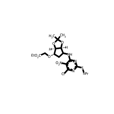 CCCSc1nc(Cl)c([N+](=O)[O-])c(NC2C[C@H](OCC(=O)OCC)[C@H]3OC(C)(C)O[C@@H]23)n1